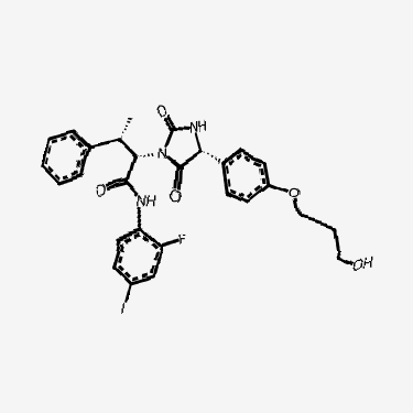 C[C@@H](c1ccccc1)[C@@H](C(=O)Nc1ccc(I)cc1F)N1C(=O)N[C@H](c2ccc(OCCCO)cc2)C1=O